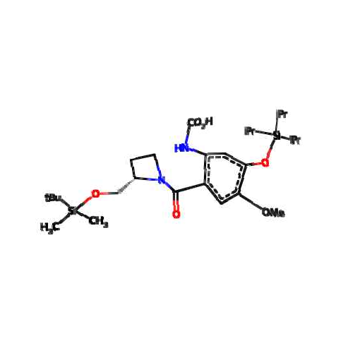 COc1cc(C(=O)N2CC[C@H]2CO[Si](C)(C)C(C)(C)C)c(NC(=O)O)cc1O[Si](C(C)C)(C(C)C)C(C)C